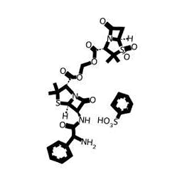 CC1(C)S[C@@H]2[C@H](NC(=O)C(N)c3ccccc3)C(=O)N2[C@H]1C(=O)OCOC(=O)[C@@H]1N2C(=O)C[C@H]2S(=O)(=O)C1(C)C.O=S(=O)(O)c1ccccc1